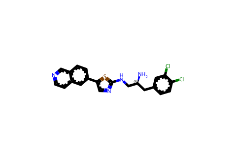 N[C@H](CNc1ncc(-c2ccc3cnccc3c2)s1)Cc1ccc(Cl)c(Cl)c1